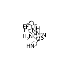 Nc1cc(C(F)(F)F)c(-c2c(F)cccc2F)nc1C(=O)Nc1cnsc1OCC1CCNCC1